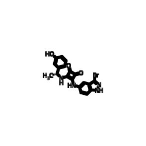 C[C@@H](Nc1c(Nc2ccc3[nH]nc(Br)c3c2)c(=O)c1=O)c1cccc(O)c1